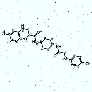 O=C(COc1ccc(Cl)cc1)N[C@H]1CC[C@H](NC(=O)C2CNc3cc(Cl)ccc3O2)CC1